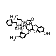 C=CCN(C(=O)N(C)Cc1ccccc1)N1CC(=O)N2[C@@H](Cc3ccc(O)cc3)C(=O)N(Cc3ccc(C)cc3)C[C@@H]21